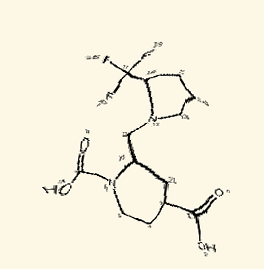 O=C(O)C1CCN(C(=O)O)C(CN2CCC[C@@H]2C(F)(F)F)C1